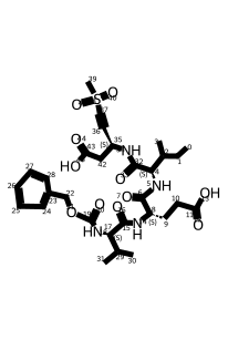 CCC(C)[C@H](NC(=O)[C@H](CCC(=O)O)NC(=O)[C@@H](NC(=O)OCc1ccccc1)C(C)C)C(=O)N[C@H](C#CS(C)(=O)=O)CC(=O)O